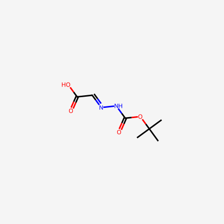 CC(C)(C)OC(=O)N/N=C/C(=O)O